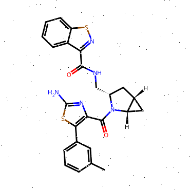 Cc1cccc(-c2sc(N)nc2C(=O)N2[C@H](CNC(=O)c3nsc4ccccc34)C[C@@H]3C[C@@H]32)c1